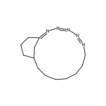 C1CCCN=NN=NN=C2CCCC(CCC1)C2